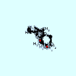 CC[C@H](C)[C@@H]1NC(=O)[C@H](CC(C)C)NC(=O)C2(CCOCC2)NC(=O)[C@@H](NC(=O)[C@@H](CC(C)C)NC(=O)[C@H](CCCCN)NC(=O)[C@@H]2C[C@@H](O)CN2C(=O)CCc2c[nH]c3ccc(Cl)cc23)CSCc2cccc(n2)CSC[C@@H](C(N)=O)NC1=O